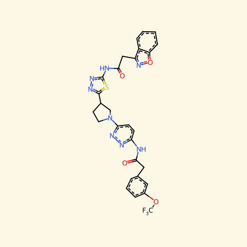 O=C(Cc1cccc(OC(F)(F)F)c1)Nc1ccc(N2CCC(c3nnc(NC(=O)Cc4noc5ccccc45)s3)C2)nn1